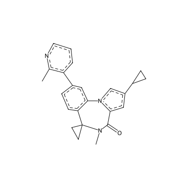 Cc1ncccc1-c1ccc2c(c1)-n1cc(C3CC3)cc1C(=O)N(C)C21CC1